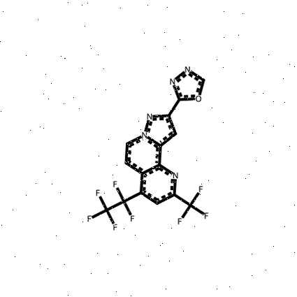 FC(F)(F)c1cc(C(F)(F)C(F)(F)F)c2ccn3nc(-c4nnco4)cc3c2n1